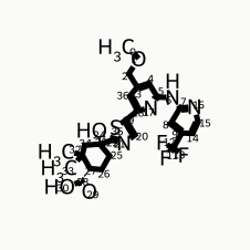 COCc1cc(Nc2cc(C(F)(F)F)ccn2)nc(-c2cnc([C@@]3(O)CC[C@H](C(=O)O)C(C)(C)C3)s2)c1